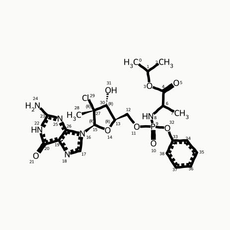 CC(C)OC(=O)C(C)NP(=O)(OC[C@H]1O[C@@H](n2cnc3c(=O)[nH]c(N)nc32)[C@](C)(Cl)[C@@H]1O)Oc1ccccc1